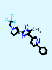 Cc1[nH]c([C@@H]2CCN(CC(F)(F)F)C2)nc1-c1ccc(-c2ccccc2)nc1